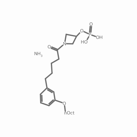 CCCCCCCCOc1cccc(CCCCC(=O)N2CC(OP(=O)(O)O)C2)c1.N